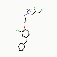 O=C(O)N(CCOc1ccc(Cc2ccccc2)cc1Cl)CC(Cl)CCl